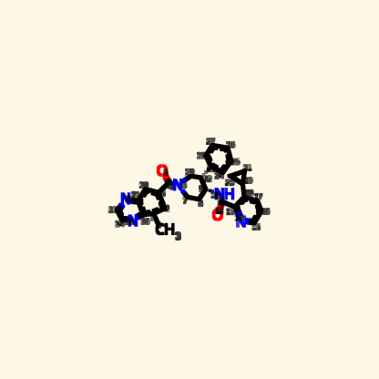 Cc1cc(C(=O)N2CC[C@@H](NC(=O)c3ncccc3C3CC3)[C@@H](c3ccccc3)C2)cc2nccnc12